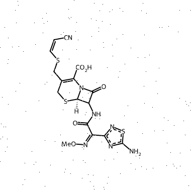 CO/N=C(\C(=O)NC1C(=O)N2C(C(=O)O)=C(CS/C=C\C#N)CS[C@H]12)c1nsc(N)n1